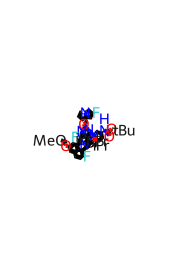 COCOc1cc(-c2ncc3c(N4CCC[C@H](NC(=O)OC(C)(C)C)C4)nc(OC[C@@]45CCCN4C[C@H](F)C5)nc3c2F)c2c(C#C[Si](C(C)C)(C(C)C)C(C)C)c(F)ccc2c1